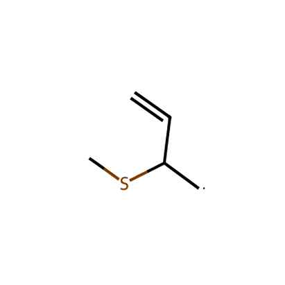 [CH2]C(C=C)SC